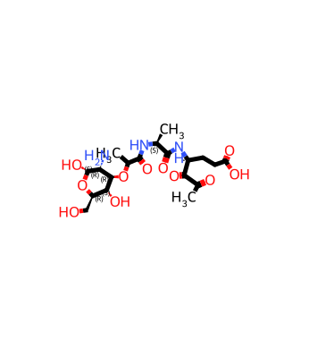 CC(=O)C(=O)[C](CCC(=O)O)NC(=O)[C@H](C)NC(=O)C(C)O[C@@H]1[C@@H](N)[C@@H](O)O[C@H](CO)[C@H]1O